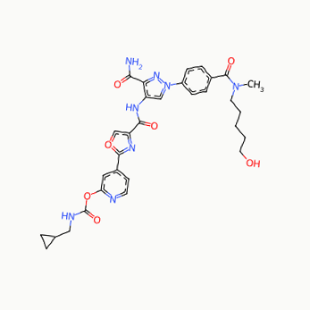 CN(CCCCCO)C(=O)c1ccc(-n2cc(NC(=O)c3coc(-c4ccnc(OC(=O)NCC5CC5)c4)n3)c(C(N)=O)n2)cc1